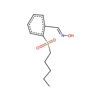 CCCCCS(=O)(=O)c1ccccc1C=NO